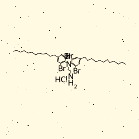 CCCCCCCCCCCCc1cc(Br)c(N(CCN)c2c(Br)cc(CCCCCCCCCCCC)cc2Br)c(Br)c1.Cl